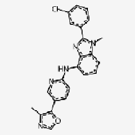 Cc1ncoc1-c1ccc(Nc2cccc3c2nc(-c2cccc(Cl)c2)n3C)nc1